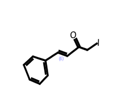 O=C(/C=C/c1ccccc1)CI